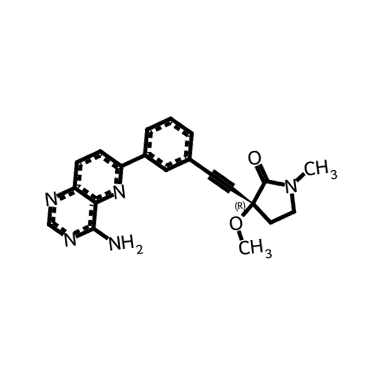 CO[C@@]1(C#Cc2cccc(-c3ccc4ncnc(N)c4n3)c2)CCN(C)C1=O